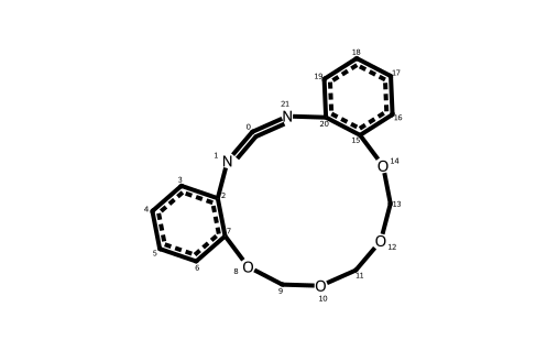 C1=Nc2ccccc2OCOCOCOc2ccccc2N=1